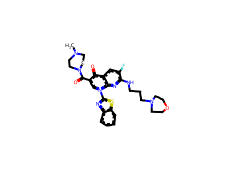 CN1CCN(C(=O)c2cn(-c3nc4ccccc4s3)c3nc(NCCCN4CCOCC4)c(F)cc3c2=O)CC1